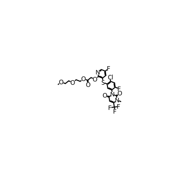 COCCOCCOC(=O)COc1ncc(F)cc1Sc1cc(-n2c(=O)cc(C(F)(F)F)n(C)c2=O)c(F)cc1Cl